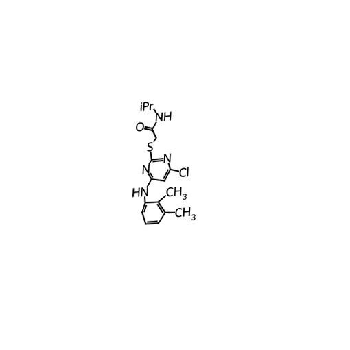 Cc1cccc(Nc2cc(Cl)nc(SCC(=O)NC(C)C)n2)c1C